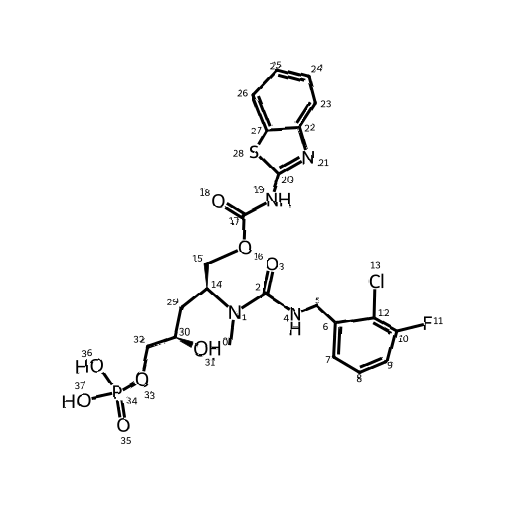 CN(C(=O)NCc1cccc(F)c1Cl)[C@H](COC(=O)Nc1nc2ccccc2s1)C[C@@H](O)COP(=O)(O)O